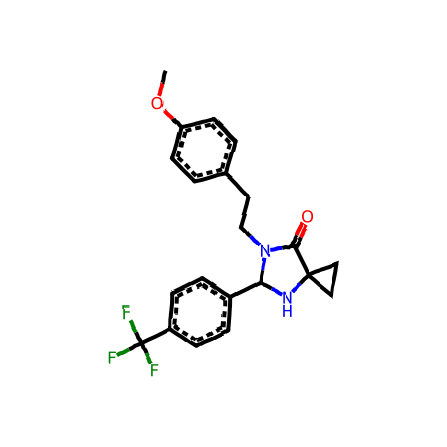 COc1ccc(CCN2C(=O)C3(CC3)NC2c2ccc(C(F)(F)F)cc2)cc1